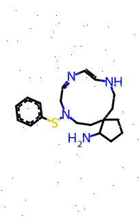 NC1CCCC12CCN/C=C/N=C\CN(Sc1ccccc1)CC2